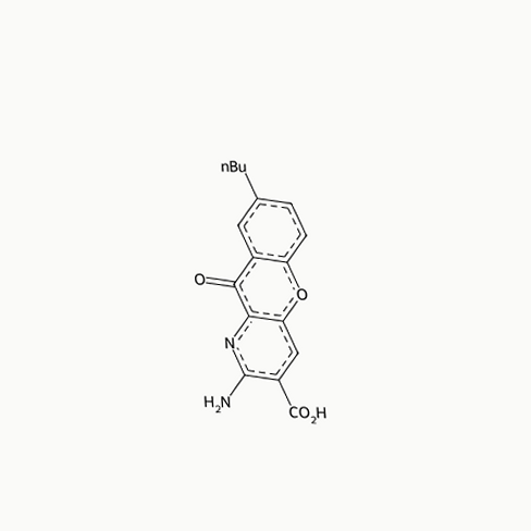 CCCCc1ccc2oc3cc(C(=O)O)c(N)nc3c(=O)c2c1